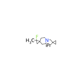 CC(C)C1(CN2CCC3(CC2)CC3(C)F)CC1